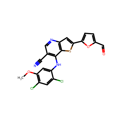 COc1cc(Nc2c(C#N)cnc3cc(-c4ccc(C=O)o4)sc23)c(Cl)cc1Cl